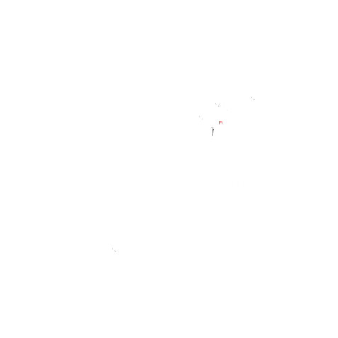 Cc1cc(-c2ccc(S(=O)(=O)[C@@H]3C[C@@H](C(=O)N4CC(F)(F)C4)[C@](C(=O)O)(C4CC4(C#N)C(N)=O)C3)c(C(F)(F)F)c2)ccn1